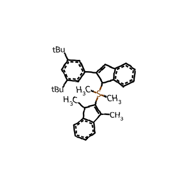 CC1=C(S(C)(C)C2C(c3cc(C(C)(C)C)cc(C(C)(C)C)c3)=Cc3ccccc32)C(C)c2ccccc21